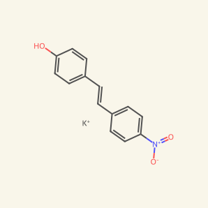 O=[N+]([O-])c1ccc(C=Cc2ccc(O)cc2)cc1.[K+]